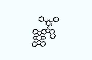 c1ccc(-c2cc(-n3c4cc5c(cc4c4c6ccccc6ccc43)C3(c4ccccc4-5)c4ccccc4C4(c5ccccc5-c5ccccc54)c4ccccc43)nc(-c3ccccc3)n2)cc1